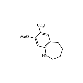 COc1cc2c(cc1C(=O)O)CCCCN2